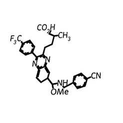 COC(NCc1ccc(C#N)cc1)C1C=c2nc(CCC(C)CC(=O)O)c(-c3ccc(C(F)(F)F)cc3)nc2=CC1